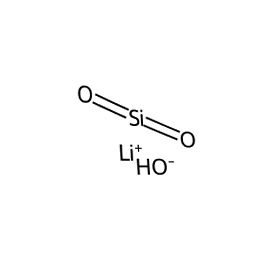 O=[Si]=O.[Li+].[OH-]